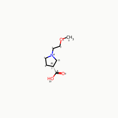 COCCN1CC[C@@H](C(=O)O)C1